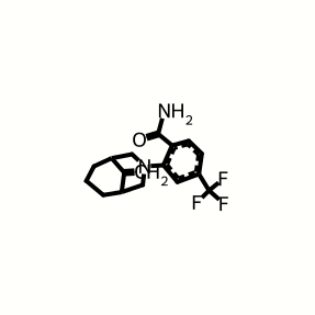 C=C1C2CCCC1CN(c1cc(C(F)(F)F)ccc1C(N)=O)C2